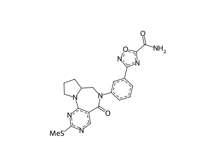 CSc1ncc2c(n1)N1CCCC1CN(c1cccc(-c3noc(C(N)=O)n3)c1)C2=O